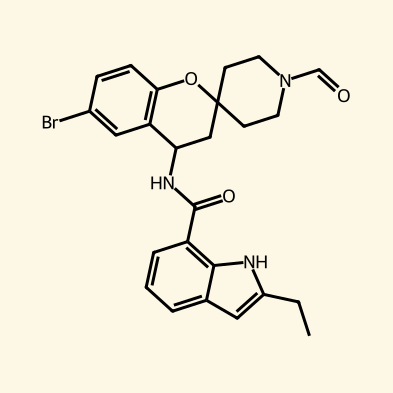 CCc1cc2cccc(C(=O)NC3CC4(CCN(C=O)CC4)Oc4ccc(Br)cc43)c2[nH]1